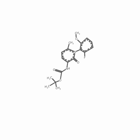 COc1cccc(F)c1-n1c(C)ccc(NC(=O)OC(C)(C)C)c1=O